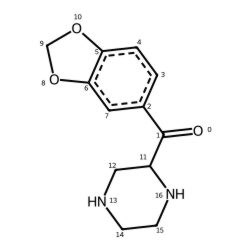 O=C(c1ccc2c(c1)OCO2)C1CNCCN1